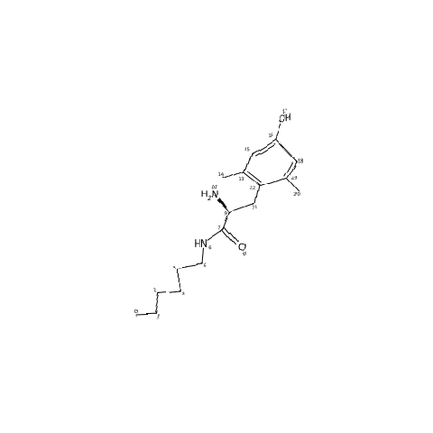 CCCCCCNC(=O)[C@@H](N)Cc1c(C)cc(O)cc1C